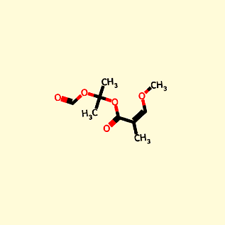 CO/C=C(/C)C(=O)OC(C)(C)OC=O